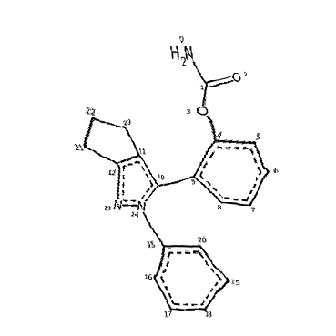 NC(=O)Oc1ccccc1-c1c2c(nn1-c1ccccc1)CCC2